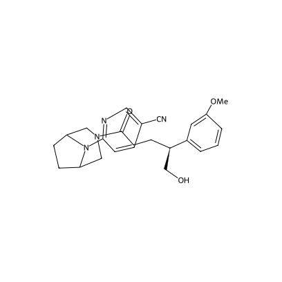 COc1cccc([C@@H](CO)CCC(=O)N2CC3CCC(C2)N3c2ccc(C#N)cn2)c1